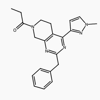 CCC(=O)N1CCc2c(nc(Cc3ccccc3)nc2-c2ccn(C)n2)C1